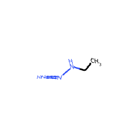 CCNN=N